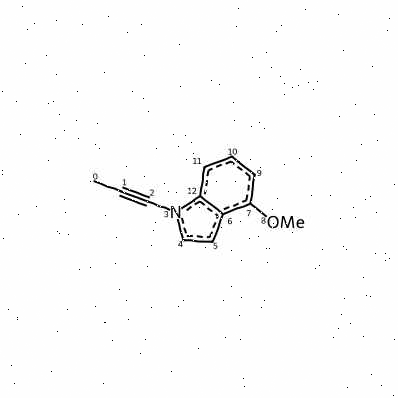 CC#Cn1ccc2c(OC)cccc21